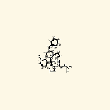 CNCCN[C@H]1CCC[C@@H]1[C@](CN1CCC1)(c1cccc(F)c1)C1CCN(Cc2ccccc2)CC1